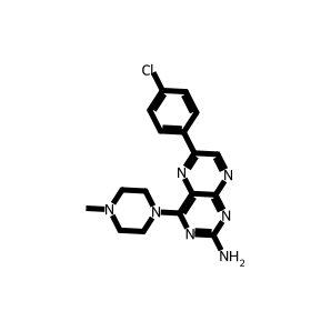 CN1CCN(c2nc(N)nc3ncc(-c4ccc(Cl)cc4)nc23)CC1